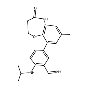 Cc1cc2c(c(-c3ccc(NC(C)C)c(C=N)c3)c1)OCCC(=O)N2